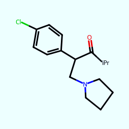 CC(C)C(=O)C(CN1CCCC1)c1ccc(Cl)cc1